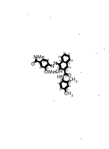 CNC(=O)c1ccc(/N=N/c2c(O)c(C(=O)Nc3ccc(C)cc3C)cc3ccccc23)c(OC)c1